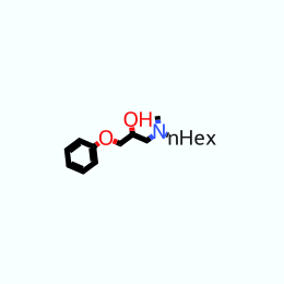 [CH2]CCCCCN(C)CC(O)COc1ccccc1